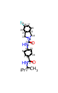 CC(C)[C@@H](C)NC(=O)c1ccc(NC(=O)N2Cc3ccc(F)cc3C2)cc1